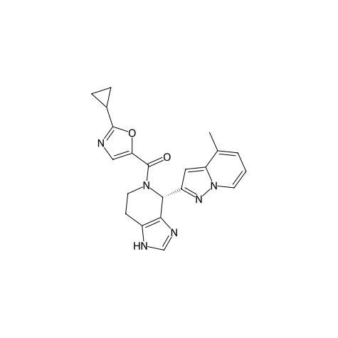 Cc1cccn2nc([C@@H]3c4nc[nH]c4CCN3C(=O)c3cnc(C4CC4)o3)cc12